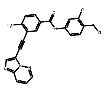 Cc1ccc(C(=O)Nc2ccc(CCl)c(Cl)c2)cc1C#Cc1cnc2cccnn12